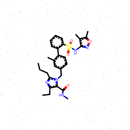 CCCc1nc(CC)c(C(=O)NC)n1Cc1ccc(-c2ccccc2S(=O)(=O)Nc2noc(C)c2C)c(C)c1